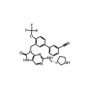 N#Cc1cccc(-c2ccc(OC(F)(F)F)c(Cn3c(=O)[nH]c4cnc(NC[C@@H]5CCNC5)nc43)c2)c1